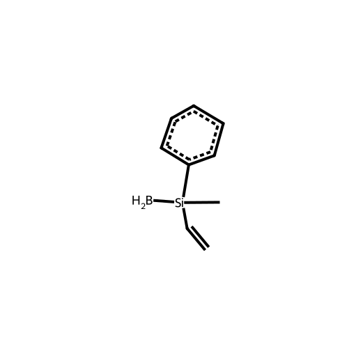 B[Si](C)(C=C)c1ccccc1